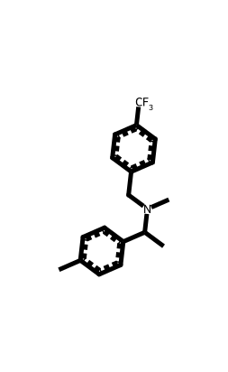 Cc1ccc(C(C)N(C)Cc2ccc(C(F)(F)F)cc2)cc1